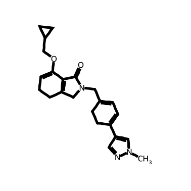 Cn1cc(C2=CC=C(CN3CC4=C(C3=O)C(OCC3CC3)=CCC4)CC2)cn1